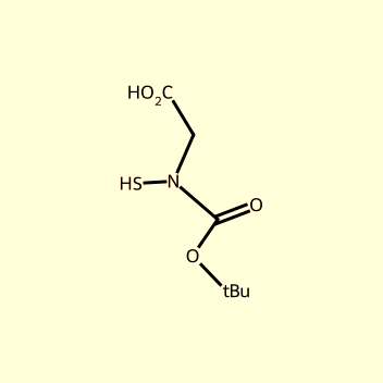 CC(C)(C)OC(=O)N(S)CC(=O)O